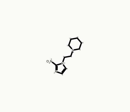 O=[N+]([O-])c1nccn1CCN1CCCCC1